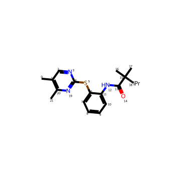 Cc1cnc(Sc2ccccc2NC(=O)C(C)(C)C(C)C)nc1C